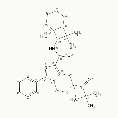 CC(C)(C)C(=O)N1CCn2c(-c3ccccc3)nc(C(=O)NC3C(C)(C)C4CCCCC43C)c2C1